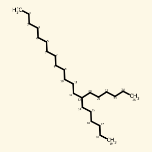 CCCCCCCCCCCCCC(CCCCCC)CCCCCC